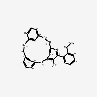 CCc1c2nc(nc1-c1ccccc1CC(C)C)NSc1cccc(c1)NCc1cccc(c1)O2